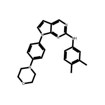 Cc1ccc(Nc2ncc3ccn(-c4ccc(N5CCOCC5)cc4)c3n2)cc1C